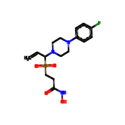 C=CC(N1CCN(c2ccc(F)cc2)CC1)S(=O)(=O)CCC(=O)NO